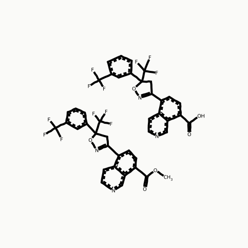 COC(=O)c1ccc(C2=NOC(c3cccc(C(F)(F)F)c3)(C(F)(F)F)C2)c2ccncc12.O=C(O)c1ccc(C2=NOC(c3cccc(C(F)(F)F)c3)(C(F)(F)F)C2)c2ccncc12